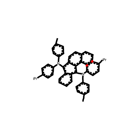 Cc1ccc(N(c2ccc(C(C)C)cc2)c2c3ccccc3c(N(c3ccc(C)cc3)c3ccc(C(C)C)cc3)c3c2ccc2ccccc23)cc1